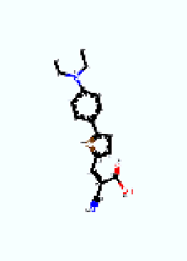 CCN(CC)c1ccc(-c2ccc(/C=C(/C#N)C(=O)O)s2)cc1